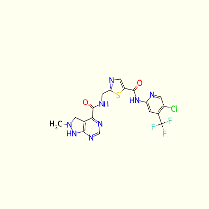 CN1Cc2c(ncnc2C(=O)NCc2ncc(C(=O)Nc3cc(C(F)(F)F)c(Cl)cn3)s2)N1